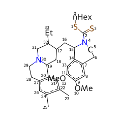 CCCCCCSC(=S)N1CCc2cc(OC)c(OC)cc2C1CC1CC2c3cc(C)c(C)cc3CCN2CC1CC